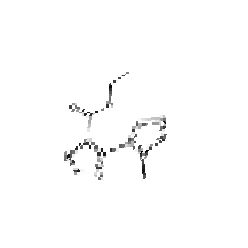 CCOC(=O)c1ncoc1-c1cncn1C